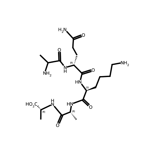 CC(N)C(=O)N[C@H](CCC(N)=O)C(=O)N[C@@H](CCCCN)C(=O)N[C@H](C)C(=O)N[C@H](C)C(=O)O